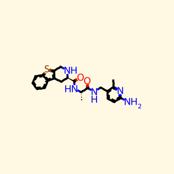 Cc1nc(N)ccc1CNC(=O)[C@H](C)NC(=O)[C@H]1Cc2c(sc3ccccc23)CN1